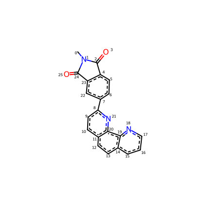 CN1C(=O)c2ccc(-c3ccc4ccc5cccnc5c4n3)cc2C1=O